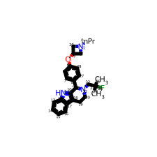 CCCN1CC(Oc2ccc(C3c4[nH]c5ccccc5c4CCN3CC(C)(C)F)cc2)C1